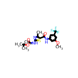 COc1cc(NC(=O)c2sc(NC(=O)OC(C)(C)C)nc2C)cc(C(F)(F)F)c1